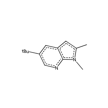 Cc1cc2cc(C(C)(C)C)cnc2n1C